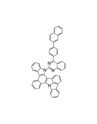 c1ccc2cc(-c3ccc(-c4nc(-n5c6ccccc6c6c7ccccc7c7c(c8cccc9c%10ccccc%10n7c98)c65)nc5ccccc45)cc3)ccc2c1